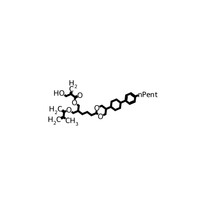 C=C(C)C(=C)OCC(CCCC1OCC(C2CCC(c3ccc(CCCCC)cc3)CC2)CO1)COC(=O)C(=C)CO